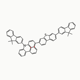 CC1(C)c2ccccc2-c2ccc(-c3ccc4c(c3)sc3cc(-c5ccc(N(c6ccc7c(c6)C(C)(C)c6ccccc6-7)c6ccccc6-c6ccccc6)cc5)ccc34)cc21